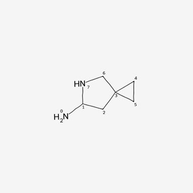 NC1CC2(CC2)CN1